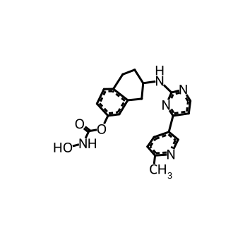 Cc1ccc(-c2ccnc(NC3CCc4ccc(OC(=O)NO)cc4C3)n2)cn1